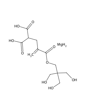 C=C(CC(C(=O)O)C(=O)O)C(=O)OCC(CO)(CO)CO.[MgH2]